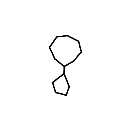 C1CCC[C](C2CCCC2)CCC1